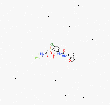 O=C(CS(=O)(=O)c1c(Cl)ccc(NC(=O)NC2CCCc3ccoc32)c1O)NCC(F)(F)F